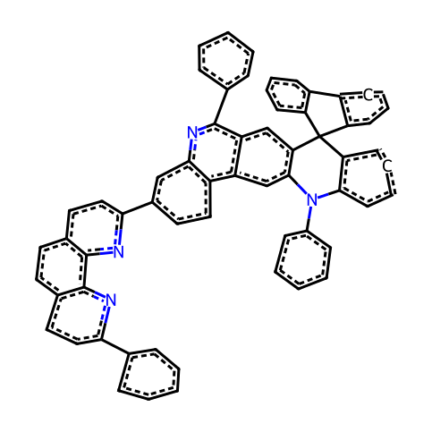 c1ccc(-c2ccc3ccc4ccc(-c5ccc6c(c5)nc(-c5ccccc5)c5cc7c(cc56)N(c5ccccc5)c5ccccc5C75c6ccccc6-c6ccccc65)nc4c3n2)cc1